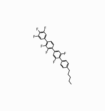 CCCCCc1ccc(-c2c(F)cc(-c3ccc(-c4cc(F)c(F)c(F)c4)c(F)c3F)cc2F)cc1